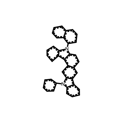 c1ccc(-n2c3ccccc3c3cc4ccc5c(c4cc32)c2ccccc2n5-c2cccc3ccccc23)cc1